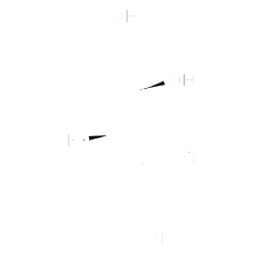 [2H]CC(=O)[C@@H](O)[C@H](O)CO